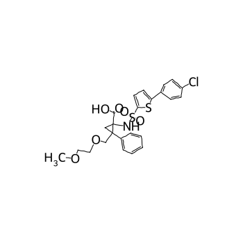 COCCOCC1(c2ccccc2)CC1(NS(=O)(=O)c1ccc(-c2ccc(Cl)cc2)s1)C(=O)O